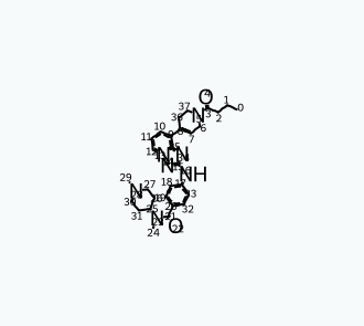 CCCC(=O)N1CC=C(c2cccn3nc(Nc4ccc(C(=O)N(C)C5CCN(C)CC5)cc4)nc23)CC1